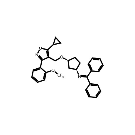 FC(F)(F)Oc1ccccc1-c1noc(C2CC2)c1CO[C@H]1CC[C@@H](N=C(c2ccccc2)c2ccccc2)C1